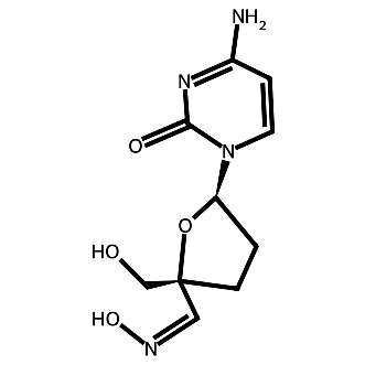 Nc1ccn([C@H]2CC[C@@](/C=N\O)(CO)O2)c(=O)n1